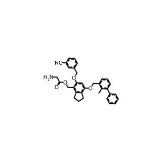 Cc1c(COc2cc(OCc3cccc(C#N)c3)c(COC(=O)CN)c3c2CCC3)cccc1-c1ccccc1